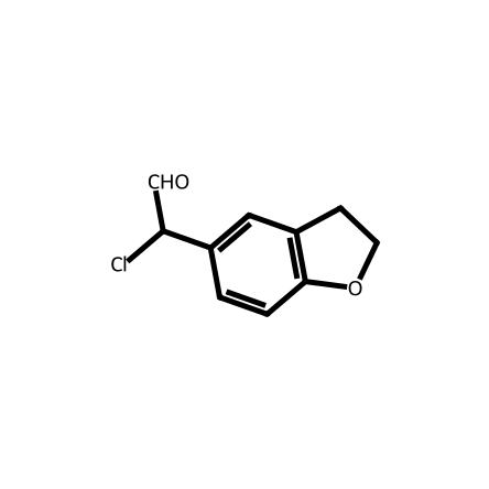 O=CC(Cl)c1ccc2c(c1)CCO2